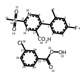 Cc1cc(F)ccc1-c1cnc(S(C)(=O)=O)nc1C(=O)O.O=C(OO)c1cccc(Cl)c1